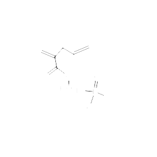 C=CCC(=C)C(=O)OO.O=P(O)(O)O